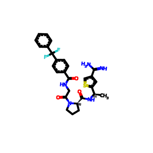 C[C@@H](NC(=O)[C@@H]1CCCN1C(=O)CNC(=O)c1ccc(C(F)(F)c2ccccc2)cc1)c1cc(C(=N)N)cs1